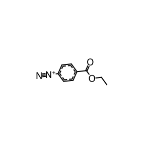 CCOC(=O)c1ccc([N+]#N)cc1